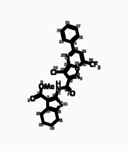 COC(=O)c1c(NC(=O)c2nn3c(C(F)(F)F)cc(-c4ccccc4)nc3c2Cl)sc2c1CCCC2